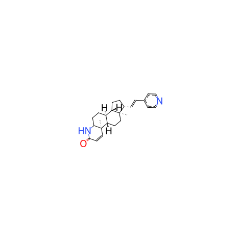 C[C@]12CC[C@H]3[C@@H](CCC4NC(=O)C=C[C@@]43C)[C@@H]1CC[C@@H]2/C=C/c1ccncc1